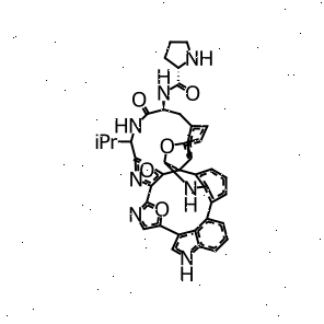 CC(C)C1NC(=O)[C@@H](NC(=O)[C@@H]2CCCN2)Cc2ccc3c(c2)C24c5cccc(c5NC2O3)-c2cccc3[nH]cc(c23)-c2cnc(o2)-c2nc1oc24